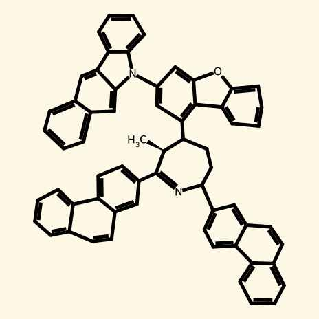 C[C@@H]1C(c2ccc3c(ccc4ccccc43)c2)=NC(c2ccc3c(ccc4ccccc43)c2)CCC1c1cc(-n2c3ccccc3c3cc4ccccc4cc32)cc2oc3ccccc3c12